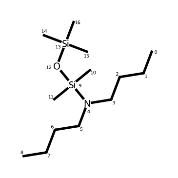 CCCCN(CCCC)[Si](C)(C)O[Si](C)(C)C